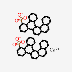 O=S(=O)([O-])c1cccc2c3ccc4ccc5ccccc5c4c3c3ccccc3c12.O=S(=O)([O-])c1cccc2c3ccc4ccc5ccccc5c4c3c3ccccc3c12.[Ca+2]